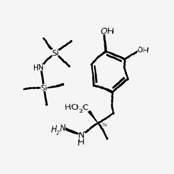 C[C@@](Cc1ccc(O)c(O)c1)(NN)C(=O)O.C[Si](C)(C)N[Si](C)(C)C